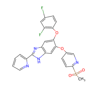 CS(=O)(=O)c1ccc(Oc2cc3[nH]c(-c4ccccn4)nc3cc2Oc2ccc(F)cc2F)cn1